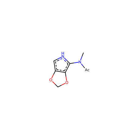 CC(=O)N(C)c1[nH]cc2c1OCO2